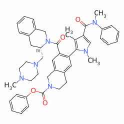 Cc1c(C(=O)N(C)c2ccccc2)cn(C)c1-c1cc2c(cc1C(=O)N1Cc3ccccc3C[C@H]1CN1CCN(C)CC1)CN(C(=O)Oc1ccccc1)CC2